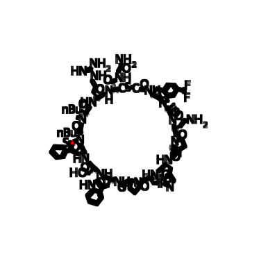 CCCC[C@H]1C(=O)N(C)[C@@H](CCCC)C(=O)N[C@@H](CCCNC(=N)N)C(=O)N[C@H](C(=O)NCC(N)=O)CSCC(=O)N[C@@H](Cc2ccc(C(F)F)cc2)C(=O)N(C)[C@@H](C)C(=O)N[C@@H](CC(N)=O)C(=O)N2CCC[C@H]2C(=O)N[C@@H](Cc2cnc[nH]2)C(=O)N[C@@H](CC(C)C)C(=O)N2CCC[C@H]2C(=O)N[C@@H](Cc2c[nH]c3ccccc23)C(=O)N[C@@H](CO)C(=O)N[C@@H](Cc2csc3ccccc23)C(=O)N1C